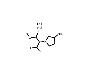 COC(F)C(C(F)F)N1CCC(N)C1.Cl.Cl